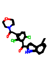 Cc1cccc2[nH]c(C(=O)c3c(Cl)ccc(C(=O)N4CCOCC4)c3Cl)cc12